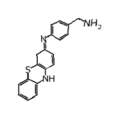 NCc1ccc(N=C2C=CC3=C(C2)Sc2ccccc2N3)cc1